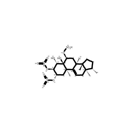 C[C@H]1CC[C@@]2(C)[C@@H]3C[C@H](OS(=O)(=O)O)[C@@]4(O)[C@@H](O)[C@H](O[SH](=O)=O)[C@@H](O[SH](=O)=O)C[C@]4(C)C3=CC[C@]12C